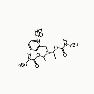 CCCCNC(=O)OC(C)N(Cc1ccccn1)C(C)OC(=O)NCCCC.Cl.Cl